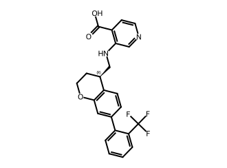 O=C(O)c1ccncc1NC[C@@H]1CCOc2cc(-c3ccccc3C(F)(F)F)ccc21